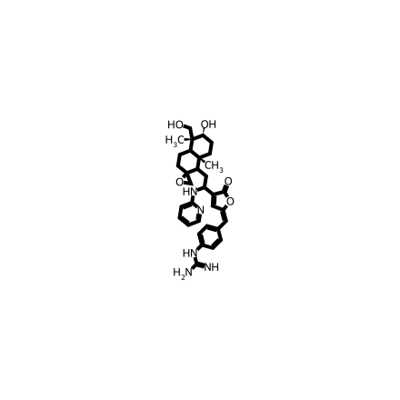 C[C@]12CC[C@@H](O)[C@@](C)(CO)C1CCC1(CO1)C2CC(Nc1ccccn1)C1=C/C(=C\c2ccc(NC(=N)N)cc2)OC1=O